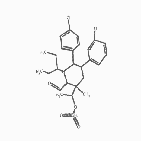 CCC(CC)N1C(c2ccc(Cl)cc2)C(c2cccc(Cl)c2)CC(C)(C(C)O[SH](=O)=O)C1C=O